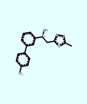 Cc1nnc(C[C@H](O)c2cccc(-c3ccc(C(F)(F)F)cc3)c2)o1